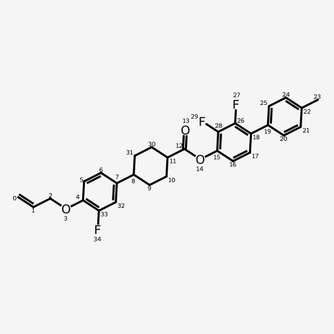 C=CCOc1ccc(C2CCC(C(=O)Oc3ccc(-c4ccc(C)cc4)c(F)c3F)CC2)cc1F